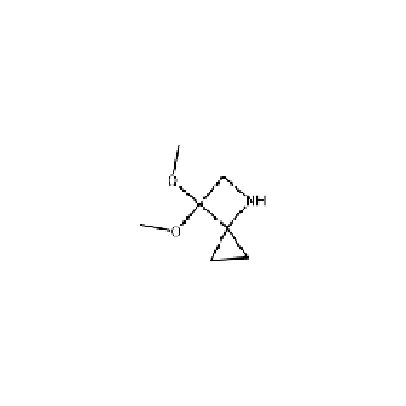 COC1(OC)CNC12CC2